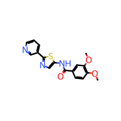 COc1ccc(C(=O)Nc2cnc(-c3cccnc3)s2)cc1OC